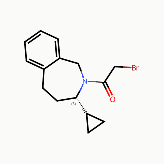 O=C(CBr)N1Cc2ccccc2CC[C@H]1C1CC1